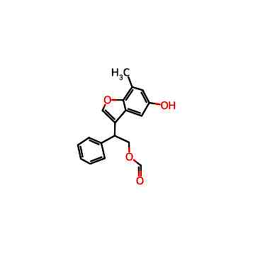 Cc1cc(O)cc2c(C(COC=O)c3ccccc3)coc12